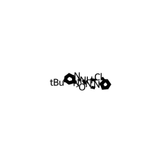 Cn1c(NC(=O)N2CCN(c3ccccc3Cl)CC2)nc2ccc(C(C)(C)C)cc21